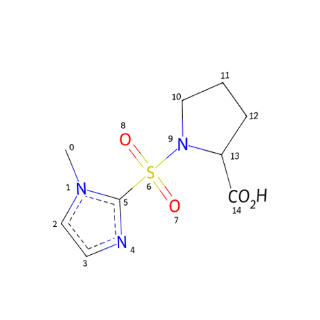 Cn1ccnc1S(=O)(=O)N1CCCC1C(=O)O